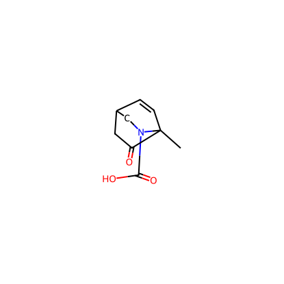 CC12C=CC(CC1=O)CN2C(=O)O